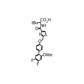 COc1cc(F)c(F)cc1-c1ccc(OCc2nc(C(=O)NC(C(=O)O)C(C)(C)C)cs2)cc1